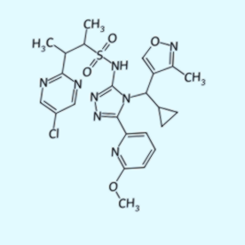 COc1cccc(-c2nnc(NS(=O)(=O)C(C)C(C)c3ncc(Cl)cn3)n2C(c2conc2C)C2CC2)n1